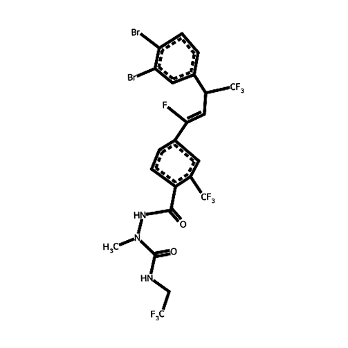 CN(NC(=O)c1ccc(C(F)=CC(c2ccc(Br)c(Br)c2)C(F)(F)F)cc1C(F)(F)F)C(=O)NCC(F)(F)F